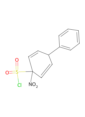 O=[N+]([O-])C1(S(=O)(=O)Cl)C=CC(c2ccccc2)C=C1